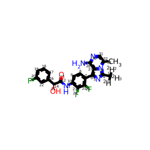 [2H]C([2H])([2H])c1nc(-c2ccc(NC(=O)[C@@H](O)c3cccc(F)c3)c(F)c2F)c2c(N)ncc(C)n12